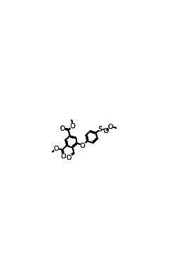 COOSc1ccc(Oc2cc(C(=O)OC)cc(C(=O)OC)c2C=O)cc1